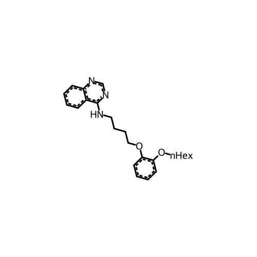 CCCCCCOc1ccccc1OCCCCNc1ncnc2ccccc12